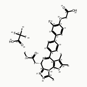 COC(=O)C[C@@H]1N=C(c2ccc(-c3ccc(OCC(=O)O)c(F)c3)cc2)c2c(sc(C)c2C)-n2c(C)nnc21.O=C(O)C(F)(F)F